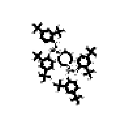 CC(C)(C)c1ccc(OP(Oc2ccc(C(C)(C)C)cc2C(C)(C)C)N2CCCN(P(Oc3ccc(C(C)(C)C)cc3C(C)(C)C)Oc3ccc(C(C)(C)C)cc3C(C)(C)C)CC2)c(C(C)(C)C)c1